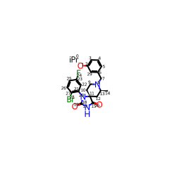 CC(C)Oc1cccc(CN2CC[C@@]3(C[C@@H]2C)C(=O)NC(=O)N3c2cc(F)ccc2Br)c1